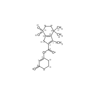 Cc1c(C(=O)OC2=CC(=O)CCC2)sc2c1C(C)(C)CCS2(=O)=O